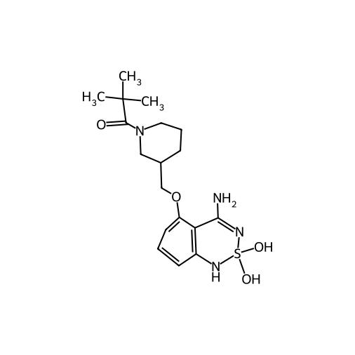 CC(C)(C)C(=O)N1CCCC(COc2cccc3c2C(N)=NS(O)(O)N3)C1